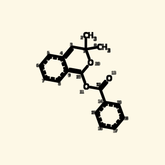 CC1(C)C=c2ccccc2=C(OC(=O)c2ccccc2)O1